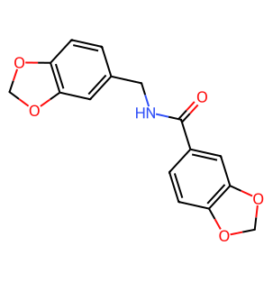 O=C(NCc1ccc2c(c1)OCO2)c1ccc2c(c1)OCO2